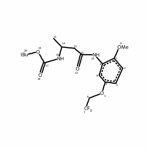 COc1ccc(OCC(F)(F)F)cc1NC(=O)CC(C)NC(=O)OC(C)(C)C